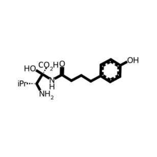 CC(C)[C@@H](N)[C@@](O)(NC(=O)CCCc1ccc(O)cc1)C(=O)O